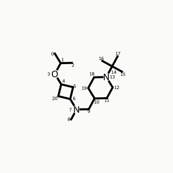 CC(C)OC1CC(N(C)CC2CCN(C(C)(C)C)CC2)C1